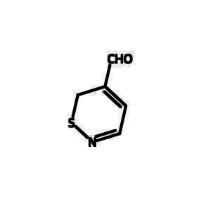 O=CC1=CC=NSC1